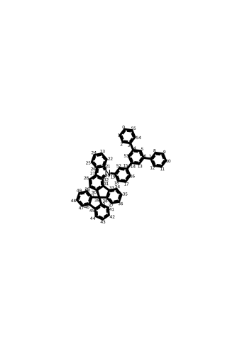 c1ccc(-c2cc(-c3ccccc3)cc(-c3cccc(-n4c5ccccc5c5ccc6c(c54)-c4ccccc4C64c5ccccc5-c5ccccc54)c3)c2)cc1